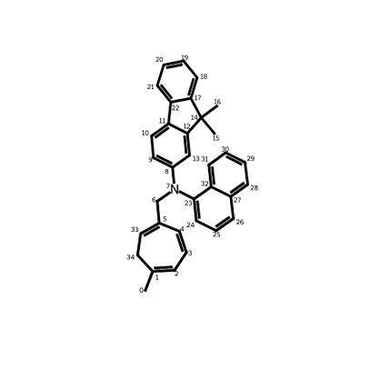 CC1=CC=CC(CN(c2ccc3c(c2)C(C)(C)c2ccccc2-3)c2cccc3ccccc23)=CC1